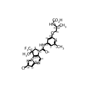 Cc1cc(NC(=O)N2C[C@@](C)(C(F)(F)F)c3c2cnc2cc(Cl)nn32)cc(OC[C@H](C)NC(=O)O)n1